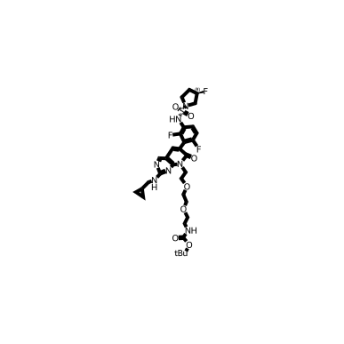 CC(C)(C)OC(=O)NCCOCCOCCn1c(=O)c(-c2c(F)ccc(NS(=O)(=O)N3CC[C@@H](F)C3)c2F)cc2cnc(NCC3CC3)nc21